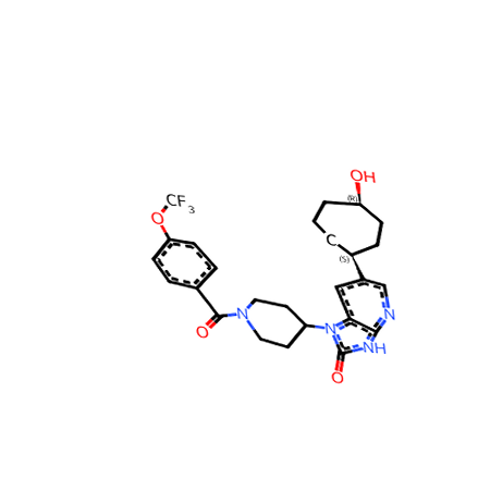 O=C(c1ccc(OC(F)(F)F)cc1)N1CCC(n2c(=O)[nH]c3ncc([C@H]4CCC[C@@H](O)CC4)cc32)CC1